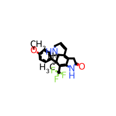 COc1ccc([C@]2(C)C(C(F)(F)F)=C3NC(=O)CC3=C3C=CCN[C@H]32)cc1